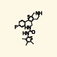 Cc1sc(NC(=O)NCc2c(-c3ccc(F)cc3)sc3c2CCNC3)c(C)c1C